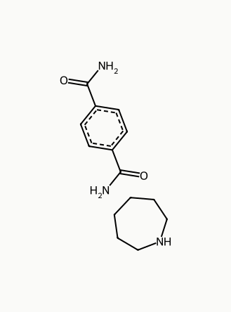 C1CCCNCC1.NC(=O)c1ccc(C(N)=O)cc1